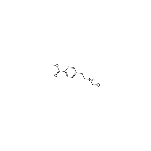 COC(=O)c1ccc(CCNC=O)cc1